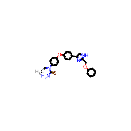 CCN(C(N)=S)c1ccc(Oc2ccc(-c3c[nH]c(COc4ccccc4)n3)cc2)cc1